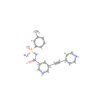 Cc1cccc(S(C)(=O)=NC(=O)c2cncc(C#Cc3ccncc3)c2)c1